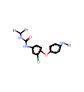 CCNc1ccc(Oc2ccc(NC(=O)NC(CC)CC)cc2Cl)cc1